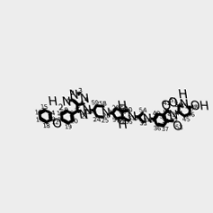 Nc1ncnc2c1c(-c1ccc(Oc3ccccc3)cc1)nn2C1CCN(C2C[C@@H]3CN(C4CN(c5ccc6c(c5)C(=O)N(C5CCC(O)NC5=O)C6=O)C4)C[C@@H]3C2)CC1